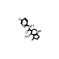 CC1CCC2=C1C(O)=C(C(=O)Nc1ccc(F)cn1)CN2C